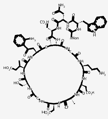 CCCCCCCCCC(=O)N[C@@H](Cc1c[nH]c2ccccc12)C(=O)N[C@@H](CC(N)=O)C(=O)N[C@@H](CC(=O)O)C(=O)N[C@@H]1C(=O)NCC(=O)N[C@@H](CCCN)C(=O)N[C@@H](CC(=O)O)C(=O)N[C@H](C)C(=O)N[C@@H](CC(=O)O)C(=O)NCC(=O)N[C@H](CO)C(=O)N[C@@H](C(C)CC(=O)O)C(=O)N[C@@H](CC(=O)c2ccccc2N)C(=O)O[C@@H]1C